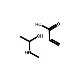 C=CC(=O)O.CNC(C)O